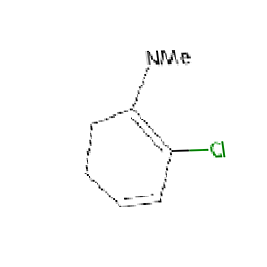 CNC1=C(Cl)C=CCC1